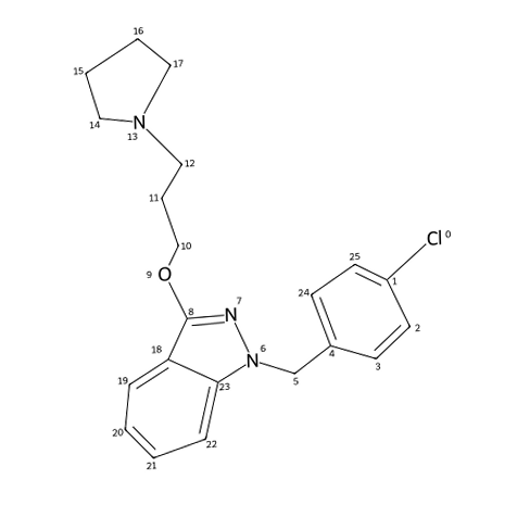 Clc1ccc(Cn2nc(OCCCN3CCCC3)c3ccccc32)cc1